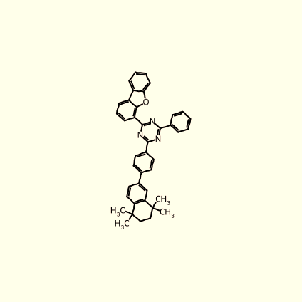 CC1(C)CCC(C)(C)c2cc(-c3ccc(-c4nc(-c5ccccc5)nc(-c5cccc6c5oc5ccccc56)n4)cc3)ccc21